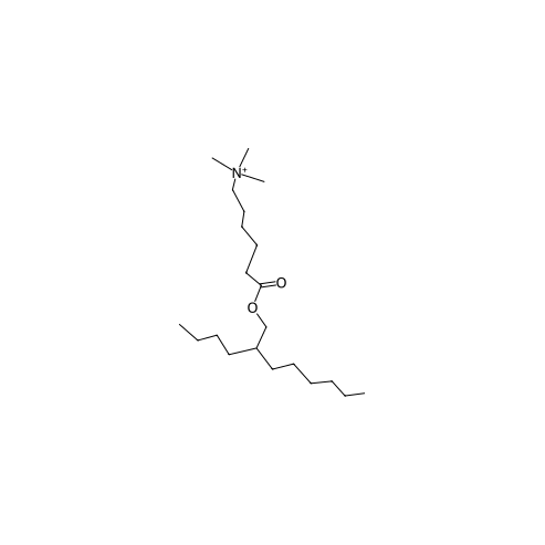 CCCCCCC(CCCC)COC(=O)CCCCC[N+](C)(C)C